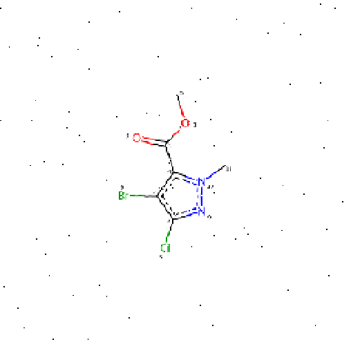 COC(=O)c1c(Br)c(Cl)nn1C